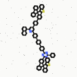 c1ccc(-c2nc(-c3ccc(-c4ccc(-c5ccc(-c6cc(-c7ccc(-c8ccc9c(c8)C8(c%10ccccc%10-c%10ccccc%108)c8c-9sc9ccccc89)cc7)cc(-c7cccc8ccccc78)n6)cc5)cc4)cc3)nc(-c3ccc4c(c3)C3(c5ccccc5-4)c4ccccc4-c4sc5ccccc5c43)n2)cc1